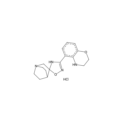 Cl.c1cc2c(c(C3=NOC4(CN5CCC4CC5)N3)c1)NCCO2